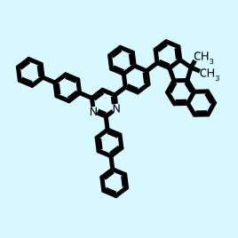 CC1(C)c2cccc(-c3ccc(-c4cc(-c5ccc(-c6ccccc6)cc5)nc(-c5ccc(-c6ccccc6)cc5)n4)c4ccccc34)c2-c2ccc3ccccc3c21